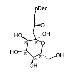 CCCCCCCCCCCC(=O)C[C@@]1(O)O[C@H](CO)[C@@H](O)[C@H](O)[C@H]1O